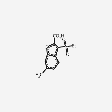 CCS(=O)(=O)c1c(C(=O)O)sc2cc(C(F)(F)F)ccc12